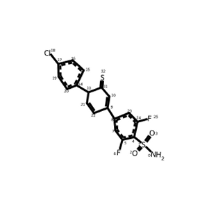 NS(=O)(=O)c1c(F)cc(C2=CC(=S)C(c3ccc(Cl)cc3)C=C2)cc1F